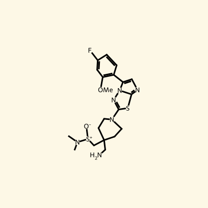 COc1cc(F)ccc1-c1cnc2sc(N3CCC(CN)(C[S+]([O-])N(C)C)CC3)nn12